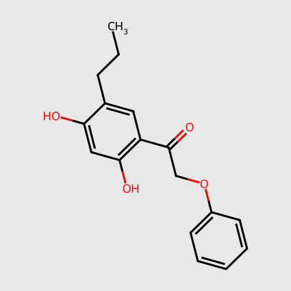 CCCc1cc(C(=O)COc2ccccc2)c(O)cc1O